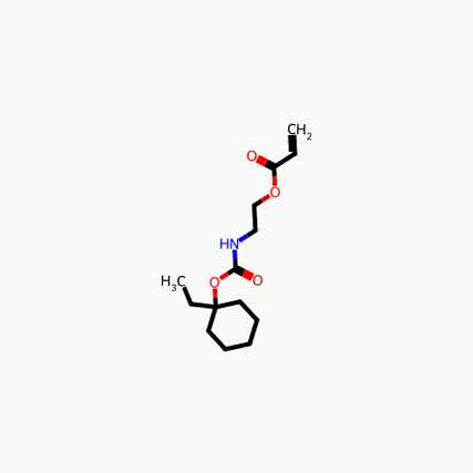 C=CC(=O)OCCNC(=O)OC1(CC)CCCCC1